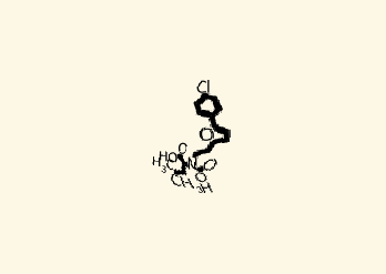 CC(C)CC(C(=O)O)N(CCc1ccc(-c2ccc(Cl)cc2)o1)C(=O)O